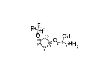 NCC(O)COc1cccc(OC(F)(F)F)c1